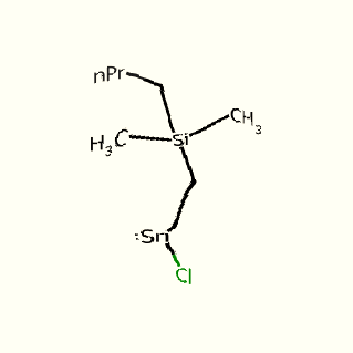 CCCC[Si](C)(C)[CH2][Sn][Cl]